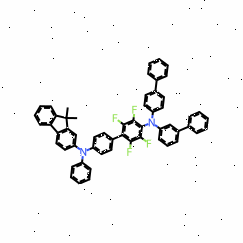 CC1(C)c2ccccc2-c2ccc(N(c3ccccc3)c3ccc(-c4c(F)c(F)c(N(c5ccc(-c6ccccc6)cc5)c5cccc(-c6ccccc6)c5)c(F)c4F)cc3)cc21